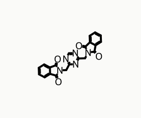 O=C1c2ccccc2C(=O)N1Cc1ncnc(CN2C(=O)c3ccccc3C2=O)n1